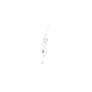 C/C=C/CC[C@@H]1CC[C@@H]2CC(C3CCc4cc(OCCCCCC)ccc4C3)CCC2C1